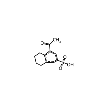 CC(=O)c1cc(S(=O)(=O)O)cc2c1CCCC2